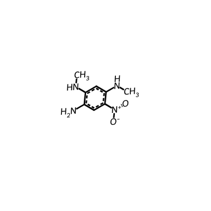 CNc1cc(NC)c([N+](=O)[O-])cc1N